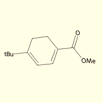 COC(=O)C1=CC=C(C(C)(C)C)CC1